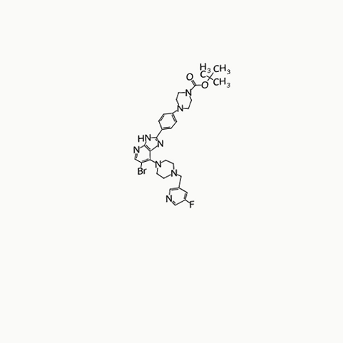 CC(C)(C)OC(=O)N1CCN(c2ccc(-c3nc4c(N5CCN(Cc6cncc(F)c6)CC5)c(Br)cnc4[nH]3)cc2)CC1